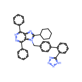 c1ccc(-c2nnc(-c3ccccc3)c3c2nc(C2CCCCC2)n3Cc2ccc(-c3ccccc3-c3nnn[nH]3)cc2)cc1